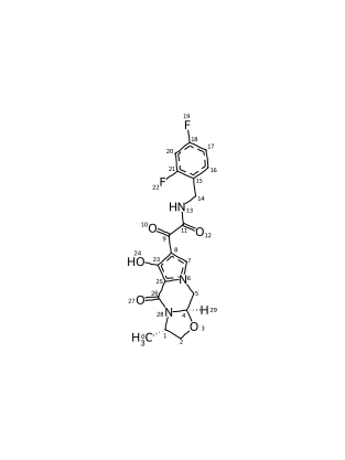 C[C@H]1CO[C@@H]2Cn3cc(C(=O)C(=O)NCc4ccc(F)cc4F)c(O)c3C(=O)N12